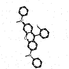 CN(c1ccccc1)c1ccc2c(-c3ccccc3I)c3cc/c(=[N+](/C)c4ccccc4)cc-3oc2c1